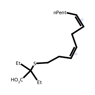 CCCCC/C=C\C/C=C\CCSC(CC)(CC)C(=O)O